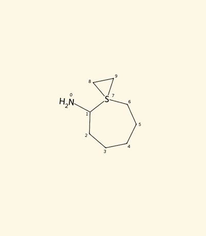 NC1CCCCCS12CC2